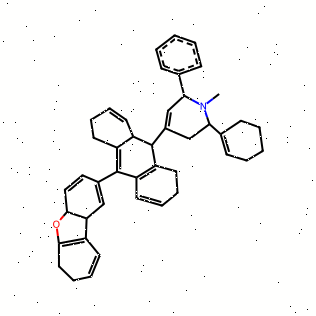 CN1C(C2=CCCCC2)CC(C2C3=C(C=CCC3)C(C3=CC4C5=C(CCC=C5)OC4C=C3)=C3CCC=CC32)=CC1c1ccccc1